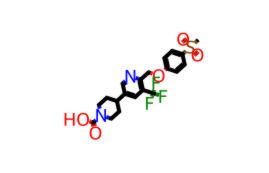 CS(=O)(=O)c1ccc(OCc2ncc(C3CCN(C(=O)O)CC3)cc2C(F)(F)F)cc1